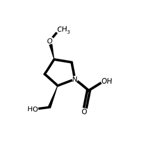 CO[C@@H]1C[C@H](CO)N(C(=O)O)C1